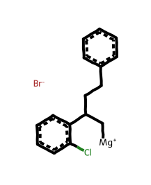 [Br-].[Mg+][CH2]C(CCc1ccccc1)c1ccccc1Cl